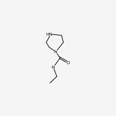 CC[N]C(=O)N1CCNCC1